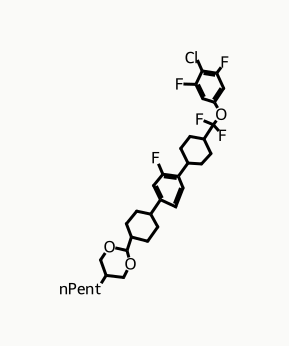 CCCCCC1COC(C2CCC(c3ccc(C4CCC(C(F)(F)Oc5cc(F)c(Cl)c(F)c5)CC4)c(F)c3)CC2)OC1